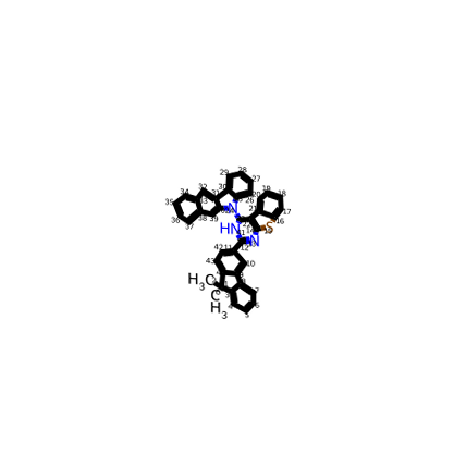 CC1(C)c2ccccc2-c2cc(C3=Nc4sc5ccccc5c4C(n4c5ccccc5c5cc6ccccc6cc54)N3)ccc21